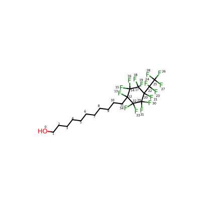 OCCCCCCCCCCCC1(F)C(F)(F)C(F)(F)C(F)(C(F)(F)C(F)(F)F)C(F)(F)C1(F)F